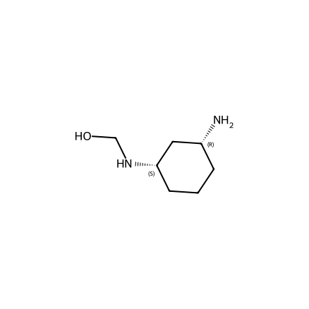 N[C@@H]1CCC[C@H](NCO)C1